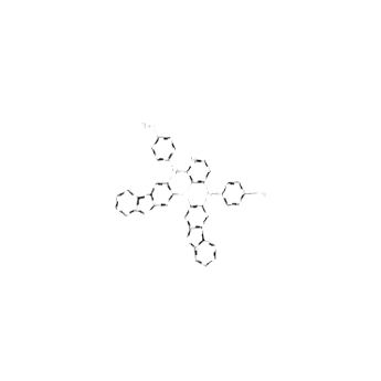 CC(C)(C)c1ccc(N2c3cc4c(cc3B3c5cc6oc7ccccc7c6cc5N(c5ccc(C(C)(C)C)cc5)c5nccc2c53)oc2ccccc24)cc1